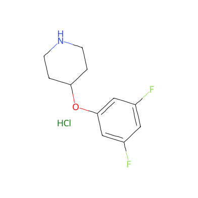 Cl.Fc1cc(F)cc(OC2CCNCC2)c1